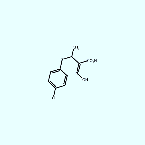 CC(Sc1ccc(Cl)cc1)C(=NO)C(=O)O